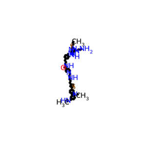 CCCSc1nc(NCCN)c2nnn(Cc3ccc(CCCNC(=O)C4CCN(CCNCCCc5csc(-c6ccc7c8cc(CNC)ccc8n(CC)c7c6)c5)CC4)cc3)c2n1